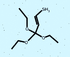 CCOC(C=C[SiH3])(OCC)OCC